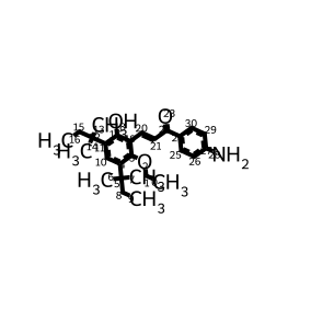 CCOc1c(C(C)(C)CC)cc(C(C)(C)CC)c(O)c1/C=C/C(=O)c1ccc(N)cc1